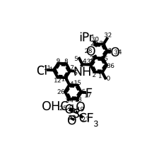 Cc1cc(C(C)Nc2ccc(Cl)cc2-c2cc(F)c(OS(=O)(=O)C(F)(F)F)c(C=O)c2)c2oc(C(C)C)c(C)c(=O)c2c1